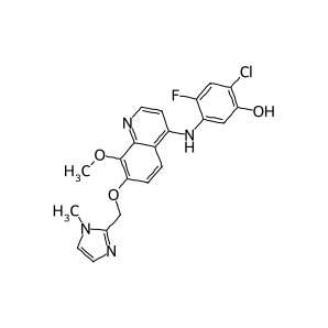 COc1c(OCc2nccn2C)ccc2c(Nc3cc(O)c(Cl)cc3F)ccnc12